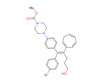 CC(C)(C)OC(=O)N1CCN(c2ccc(/C(=C(/CCCO)C3=CCC=CC=C3)c3ccc(Br)cc3)cc2)CC1